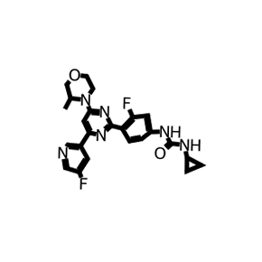 CC1COCCN1c1cc(-c2cncc(F)c2)nc(-c2ccc(NC(=O)NC3CC3)cc2F)n1